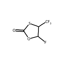 O=C1OC(F)C(C(F)(F)F)S1